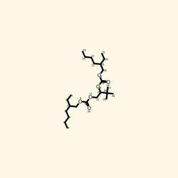 CCCCC(CC)COC(=O)OCC(OC(=O)OCC(CC)CCCC)C(C)(C)C